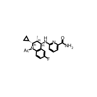 CC(=O)N1c2ccc(F)cc2[C@H](Nc2cccc(C(N)=O)n2)[C@@H](C)[C@H]1C1CC1